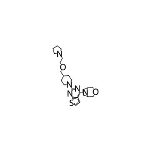 c1cc2c(N3C4CCC3COC4)nc(N3CCC(COCCN4CCCC4)CC3)nc2s1